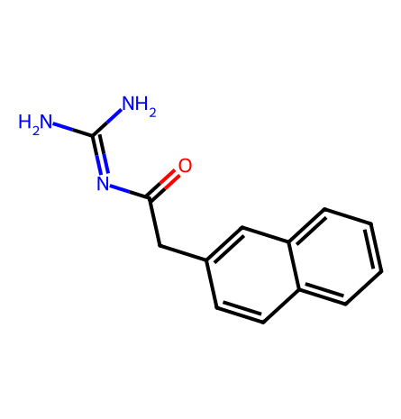 NC(N)=NC(=O)Cc1ccc2ccccc2c1